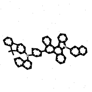 CC1(C)c2ccccc2-c2ccc(N(c3ccc(-c4cc5c6ccccc6c6c(c7ccccc7n6-c6ccc7ccccc7c6)c5c5ccccc45)cc3)c3cccc4ccccc34)cc21